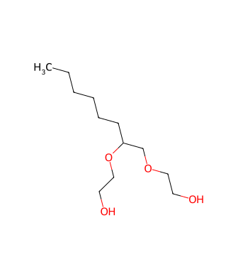 CCCCCCC(COCCO)OCCO